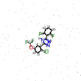 Cn1c(-c2cc(OC(F)F)ccc2Cl)nnc1-c1c(F)cccc1F